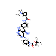 CN(C)c1cccc(C(=O)Nc2ccc(C(=N)c3c(N)ncnc3NC3CC4CC3N(C(=O)OC(C)(C)C)C4)cc2)c1